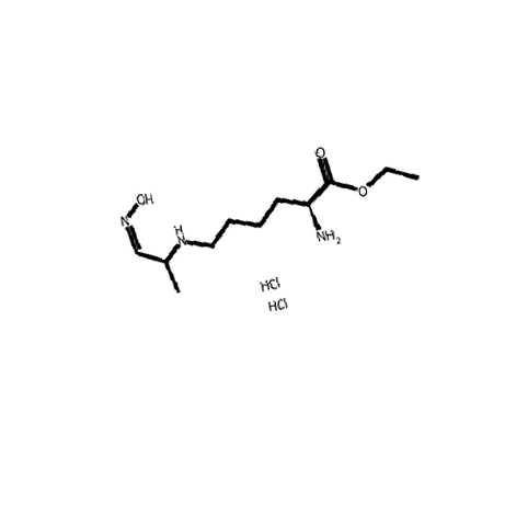 CCOC(=O)[C@@H](N)CCCCNC(C)/C=N\O.Cl.Cl